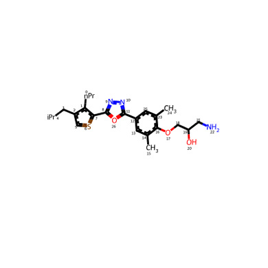 CCCc1c(CC(C)C)csc1-c1nnc(-c2cc(C)c(OCC(O)CN)c(C)c2)o1